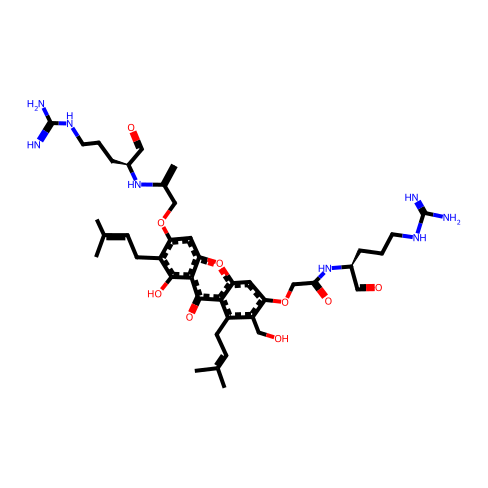 C=C(COc1cc2oc3cc(OCC(=O)N[C@H](C=O)CCCNC(=N)N)c(CO)c(CC=C(C)C)c3c(=O)c2c(O)c1CC=C(C)C)N[C@H](C=O)CCCNC(=N)N